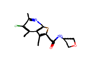 Cc1nc2sc(C(=O)NC3COC3)c(C)c2c(C)c1Cl